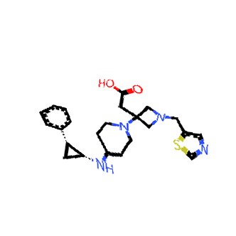 O=C(O)CC1(N2CCC(N[C@@H]3C[C@@H]3c3ccccc3)CC2)CN(Cc2cncs2)C1